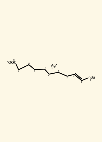 CCCCC=CCCCCCCCC(=O)[O-].[Ag+]